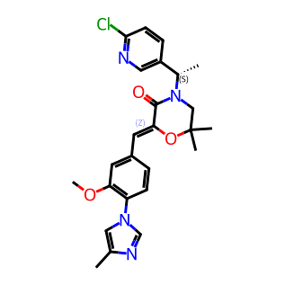 COc1cc(/C=C2\OC(C)(C)CN([C@@H](C)c3ccc(Cl)nc3)C2=O)ccc1-n1cnc(C)c1